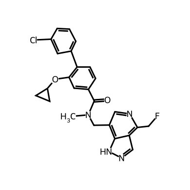 CN(Cc1cnc(CF)c2cn[nH]c12)C(=O)c1ccc(-c2cccc(Cl)c2)c(OC2CC2)c1